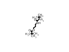 CC(C)(C)CC(=O)NCCCOC(=O)C(C)(C)C